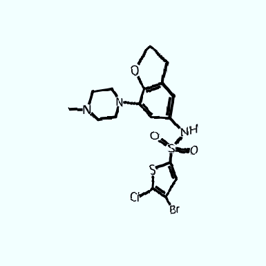 CN1CCN(c2cc(NS(=O)(=O)c3cc(Br)c(Cl)s3)cc3c2OCC3)CC1